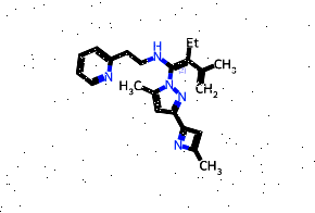 C=C(C)/C(CC)=C(/NCCc1ccccn1)n1nc(C2=NC(C)=C2)cc1C